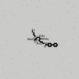 CCSCCCO[C@]1(C(=O)OC)C[C@H](OC(C)=O)[C@@H](NC(C)=O)[C@H]([C@@H](CCNC(=O)c2ccc(-c3ccccc3)cc2)OC(C)=O)O1